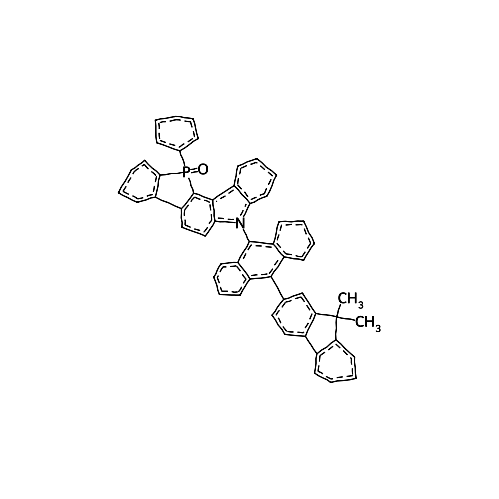 CC1(C)c2ccccc2-c2ccc(-c3c4ccccc4c(-n4c5ccccc5c5c6c(ccc54)-c4ccccc4P6(=O)c4ccccc4)c4ccccc34)cc21